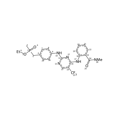 CCOP(C)(=O)Cc1ccc(Nc2ncc(C(F)(F)F)c(Nc3ccccc3C(=O)NC)n2)cc1